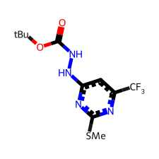 CSc1nc(NNC(=O)OC(C)(C)C)cc(C(F)(F)F)n1